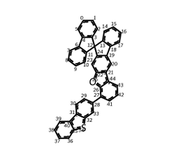 c1ccc2c(c1)-c1ccccc1C21c2ccccc2-c2cc3c(cc21)oc1c(-c2ccc4c(c2)sc2ccccc24)cccc13